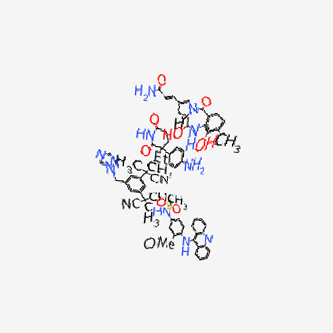 CC(C)(C#N)c1cc(Cn2cncn2)cc(C(C)(C)C#N)c1.CCC1(c2ccc(N)cc2)CCC(=O)NC1=O.COc1cc(NS(C)(=O)=O)ccc1Nc1c2ccccc2nc2ccccc12.Cc1ccc2c(c1O)N[C@@H](O)[C@@H]1CC(/C=C/C(N)=O)=CN1C2=O